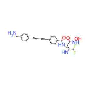 N=C(C(F)F)[C@H](NC(=O)c1ccc(C#CC#Cc2ccc(CN)cc2)cc1)C(=O)NO